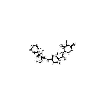 O=C1CCC(N2Cc3cc(CNC(O)C(F)(F)c4ccncn4)ccc3C2=O)C(=O)N1